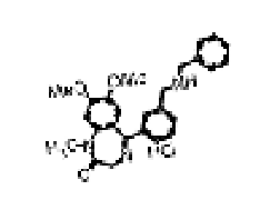 COc1cc2c(cc1OC)N(C)C(=O)CN=C2c1cccc(CNCc2ccccc2)c1.Cl